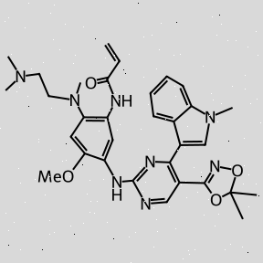 C=CC(=O)Nc1cc(Nc2ncc(C3=NOC(C)(C)O3)c(-c3cn(C)c4ccccc34)n2)c(OC)cc1N(C)CCN(C)C